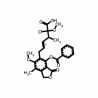 COc1c(C)c2c(c(OC(=O)c3ccccc3)c1C/C=C/C(C)C(Cl)(OC)C(=O)O)C(=O)OC2